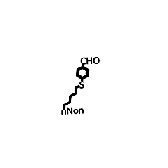 CCCCCCCCCCCCCCSc1ccc([C]=O)cc1